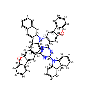 c1ccc2cc3c(cc2c1)c1ccccc1n3-c1cc2c(cc1-c1nc(-c3ccc4oc5ccccc5c4c3)nc(-n3c4ccccc4c4ccccc43)n1)oc1ccccc12